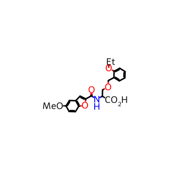 CCOc1ccccc1COCC(NC(=O)c1cc2cc(OC)ccc2o1)C(=O)O